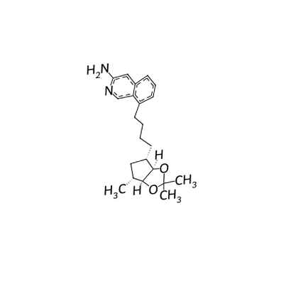 C[C@@H]1C[C@H](CCCCc2cccc3cc(N)ncc23)[C@H]2OC(C)(C)O[C@H]21